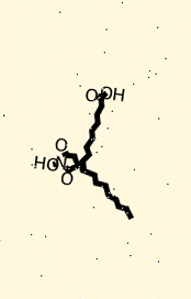 CCCCCCCC/C=C\CCCCCCCC(=O)O.O=C1CCC(=O)N1O